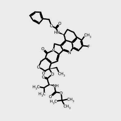 CC[C@@]1(OC(=O)[C@@H](NC(=O)OC(C)(C)C)C(C)C)C(=O)OCc2c1cc1n(c2=O)Cc2c-1nc1cc(F)c(C)c3c1c2[C@@H](NC(=O)OCc1ccccc1)CC3